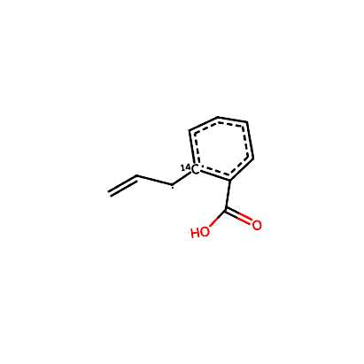 C=C[CH][14c]1ccccc1C(=O)O